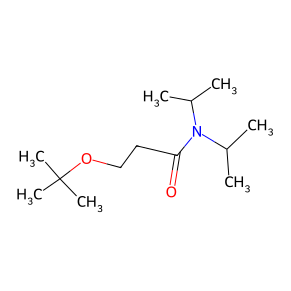 CC(C)N(C(=O)CCOC(C)(C)C)C(C)C